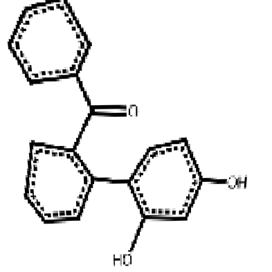 O=C(c1ccccc1)c1ccccc1-c1ccc(O)cc1O